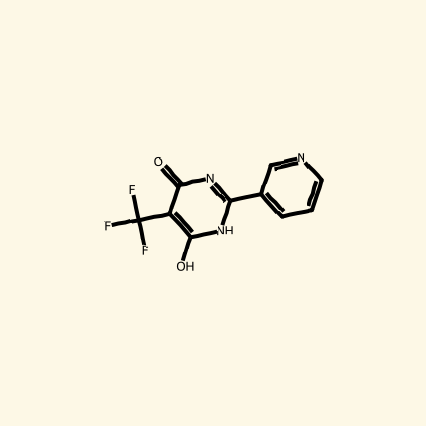 O=c1nc(-c2cccnc2)[nH]c(O)c1C(F)(F)F